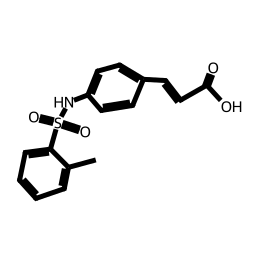 Cc1ccccc1S(=O)(=O)Nc1ccc(C=CC(=O)O)cc1